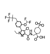 CCn1nc(C(=O)NCC2(C(=O)O)CCC(S(C)(=O)=O)CC2)c(Cl)c1-c1ccc(CC(C)(C)C(F)(F)F)cc1OC(F)F